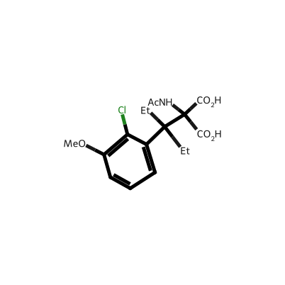 CCC(CC)(c1cccc(OC)c1Cl)C(NC(C)=O)(C(=O)O)C(=O)O